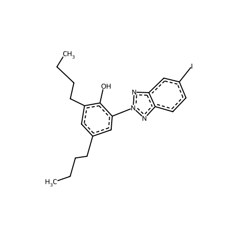 CCCCc1cc(CCCC)c(O)c(-n2nc3ccc(I)cc3n2)c1